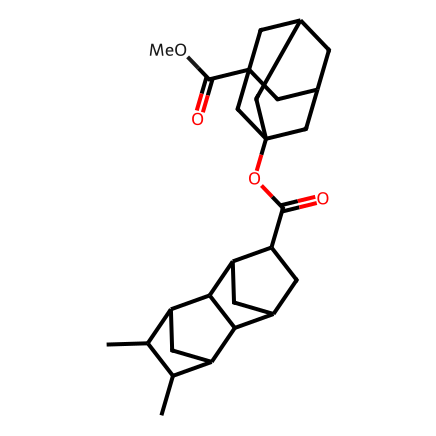 COC(=O)C12CC3CC(CC(OC(=O)C4CC5CC4C4C6CC(C(C)C6C)C54)(C3)C1)C2